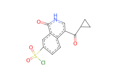 O=C(c1c[nH]c(=O)c2cc(S(=O)(=O)Cl)ccc12)C1CC1